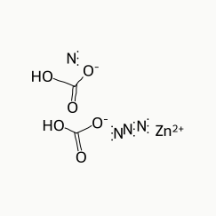 O=C([O-])O.O=C([O-])O.[N].[N].[N].[N].[Zn+2]